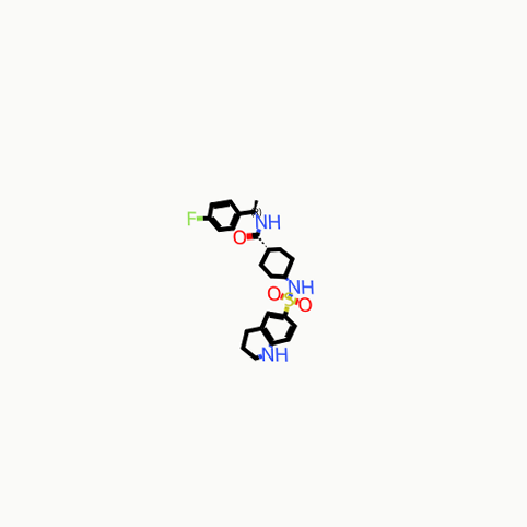 C[C@@H](NC(=O)[C@H]1CC[C@H](NS(=O)(=O)c2ccc3c(c2)CCCN3)CC1)c1ccc(F)cc1